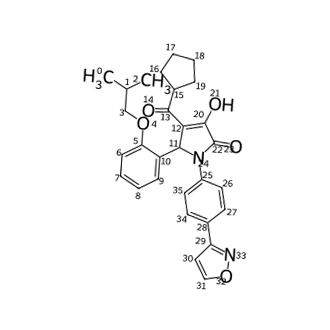 CC(C)COc1ccccc1C1C(C(=O)C2CCCC2)=C(O)C(=O)N1c1ccc(-c2ccon2)cc1